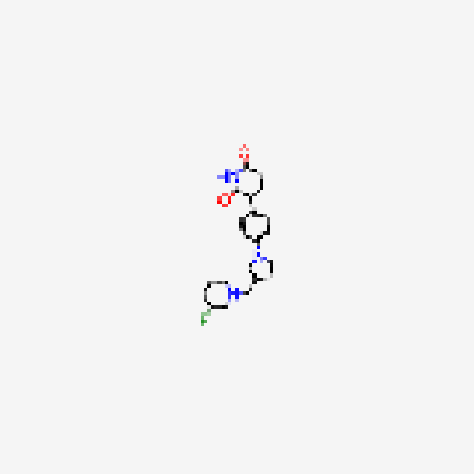 O=C1CCC(c2ccc(N3CC[C@@H](CN4CCC[C@H](F)C4)C3)cc2)C(=O)N1